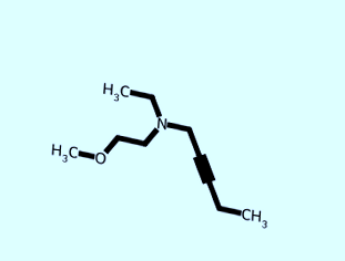 CCC#CCN(CC)CCOC